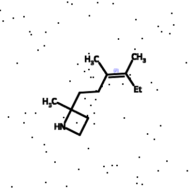 CC/C(C)=C(/C)CCC1(C)CCN1